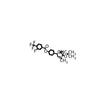 CN(CC(O)c1ccc(OC(=O)c2ccc(C(F)(F)F)c(F)c2)cc1)C(=O)OC(C)(C)C